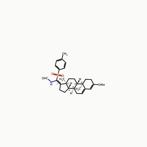 COC1=CC2=CC[C@@H]3[C@H](CC[C@]4(C)/C(=C(/NC=O)S(=O)(=O)c5ccc(C)cc5)CC[C@@H]34)[C@@]2(C)CC1